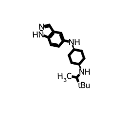 CC(N[C@H]1CC[C@@H](Nc2ccc3[nH]ncc3c2)CC1)C(C)(C)C